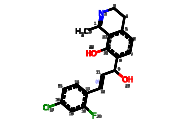 CC1=NCCc2ccc(C(O)/C=C/c3ccc(Cl)cc3F)c(O)c21